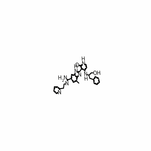 Cc1cc(C(N)=NCCc2ccccn2)cc2[nH]c(-c3c(NC(CO)Cc4ccccc4)cc[nH]c3=O)nc12